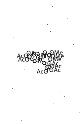 COc1cc(C(=O)N2CCC3(CC2)C(=O)N(Cc2ccc(CC4OC(COC(C)=O)C(OC(C)=O)C(OC(C)=O)C4OC(C)=O)cc2)C3c2ccc(C3OC(COC(C)=O)C(OC(C)=O)C(OC(C)=O)C3OC(C)=O)cc2)cc(OC)c1OC